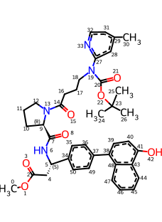 COC(=O)C[C@H](NC(=O)[C@H]1CCCN1C(=O)CCCN(C(=O)OC(C)(C)C)c1cc(C)ccn1)c1ccc(-c2ccc(O)c3ccccc23)cc1